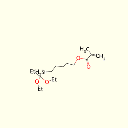 C=C(C)C(=O)OCCCCC[SiH2]C(CC)(OCC)OCC